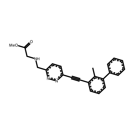 COC(=O)CNCc1ccc(C#Cc2cccc(-c3ccccc3)c2C)nn1